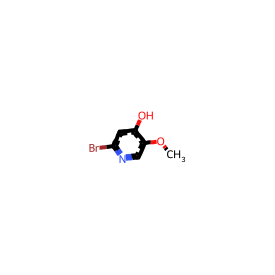 COc1cnc(Br)cc1O